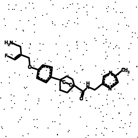 Cc1cnc(CNC(=O)C23CCC(c4ccc(OCC(=CF)CN)cc4)(CC2)CC3)cn1